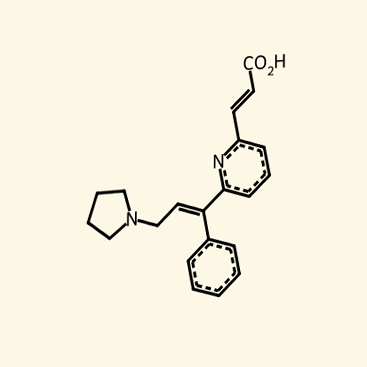 O=C(O)/C=C/c1cccc(C(=CCN2CCCC2)c2ccccc2)n1